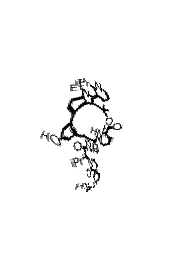 CCn1c(-c2cccnc2C(C)C)c2c3cc(ccc31)-c1cc(O)cc(c1)C[C@H](NC(=O)[C@H](C(C)C)N1CC[C@]3(CCN(C[C@H]4CN4)C3)C1=O)C(=O)N1CCC[C@H](N1)C(=O)OCC(C)(C)C2